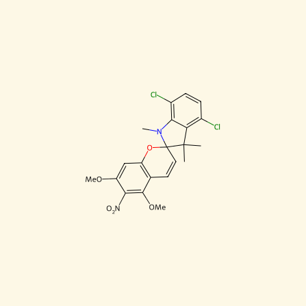 COc1cc2c(c(OC)c1[N+](=O)[O-])C=CC1(O2)N(C)c2c(Cl)ccc(Cl)c2C1(C)C